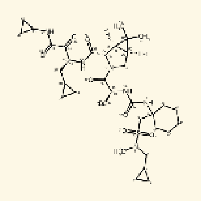 CN(CC1CC1)S(=O)(=O)CC1(NC(=O)N[C@H](C(=O)N2C[C@H]3[C@@H]([C@H]2C(=O)N[C@@H](CC2CC2)C(=O)C(=O)NC2CC2)C3(C)C)C(C)(C)C)CCCCC1